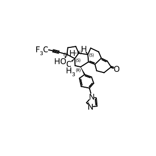 C[C@]12C[C@H](c3ccc(-n4ccnc4)cc3)C3=C4CCC(=O)C=C4CC[C@H]3[C@@H]1CC[C@@]2(O)C#CC(F)(F)F